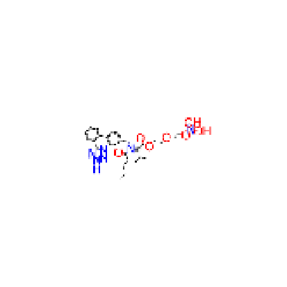 CCCCC(=O)N(Cc1ccc(-c2ccccc2-c2nn[nH]n2)cc1)[C@H](C(=O)OCCOCCON(O)O)C(C)C